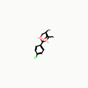 CC(C)C12COC(c3ccc(Cl)cc3)(OC1)OC2C